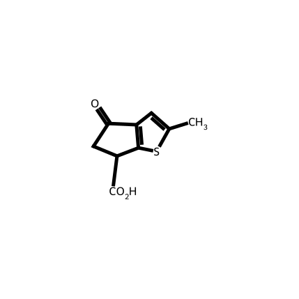 Cc1cc2c(s1)C(C(=O)O)CC2=O